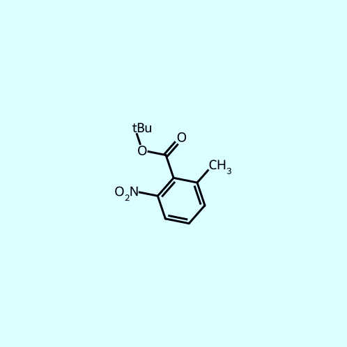 Cc1cccc([N+](=O)[O-])c1C(=O)OC(C)(C)C